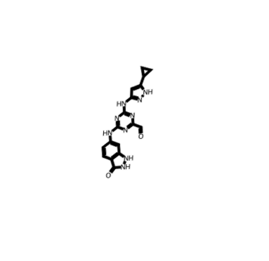 O=Cc1nc(Nc2ccc3c(=O)[nH][nH]c3c2)nc(Nc2cc(C3CC3)[nH]n2)n1